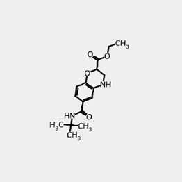 CCOC(=O)C1CNc2cc(C(=O)NC(C)(C)C)ccc2O1